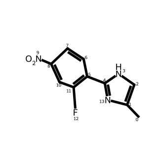 Cc1c[nH]c(-c2ccc([N+](=O)[O-])cc2F)n1